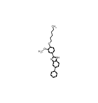 CCCCCCOc1ccc(-c2nc3cc(-c4[c]cccc4)ccc3[nH]2)cc1OC